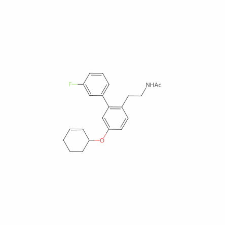 CC(=O)NCCc1ccc(OC2C=CCCC2)cc1-c1cccc(F)c1